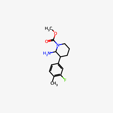 COC(=O)N1CCCC(c2ccc(C)c(F)c2)C1N